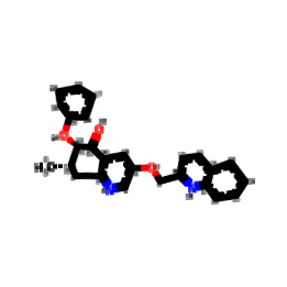 C[C@H]1Cc2ncc(OCc3ccc4ccccc4n3)cc2C(=O)[C@@H]1Oc1ccccc1